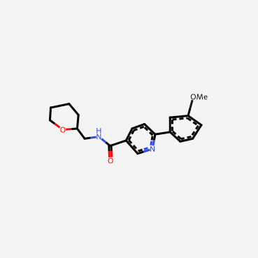 COc1cccc(-c2ccc(C(=O)NCC3CCCCO3)cn2)c1